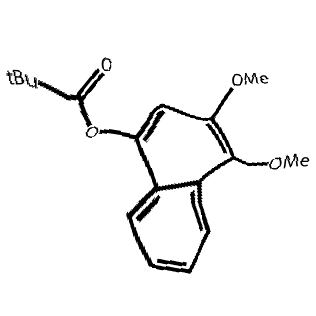 COc1cc(OC(=O)C(C)(C)C)c2ccccc2c1OC